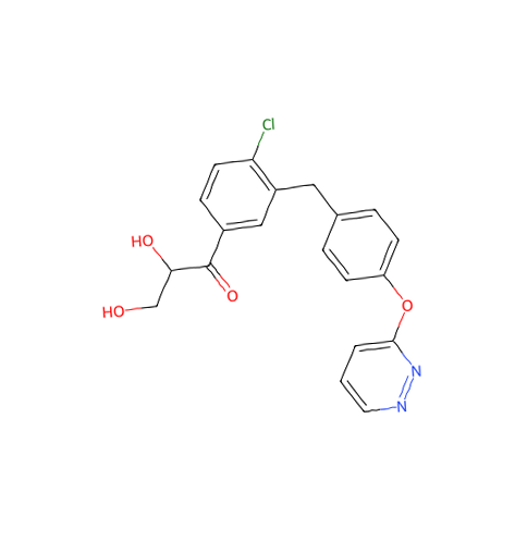 O=C(c1ccc(Cl)c(Cc2ccc(Oc3cccnn3)cc2)c1)C(O)CO